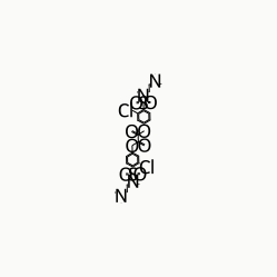 CN(C)CCN(C)S(=O)(=O)c1ccc(OC(=O)C(=O)Oc2ccc(S(=O)(=O)N(C)CCN(C)C)c(Cl)c2)cc1Cl